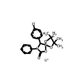 CC1(C)O[B-]2(OC(=O)N(c3ccccc3)C2c2ccc(Cl)cc2)OC1(C)C.[Li+]